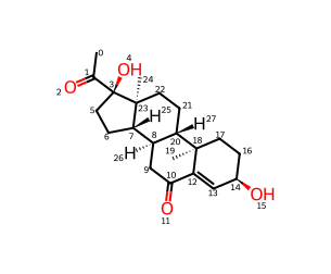 CC(=O)[C@@]1(O)CC[C@H]2[C@@H]3CC(=O)C4=C[C@H](O)CC[C@]4(C)[C@H]3CC[C@@]21C